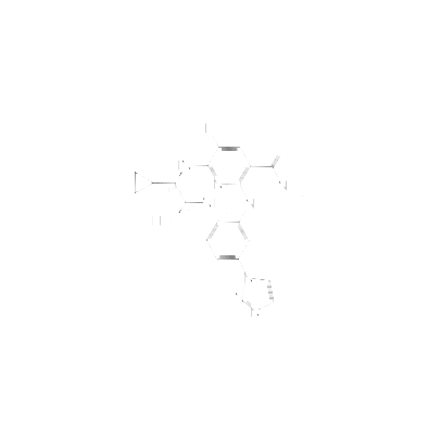 C[C@H](N)[C@H](Nc1nc(Nc2cccc(-n3ccnn3)c2)c(C(N)=O)cc1F)C1CC1